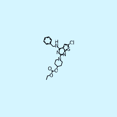 CCOC(=O)OC1CCN(c2nc(NCc3ccccc3)c3cc(Cl)sc3n2)CC1